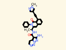 C[C@H](NC(=O)c1c(N)nn2nnccc12)c1cc2cccc(C#Cc3cnn(C)c3)c2c(=O)n1-c1ccccc1